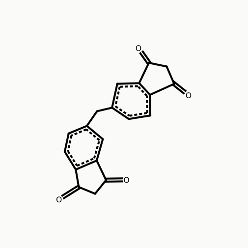 O=C1CC(=O)c2cc(Cc3ccc4c(c3)C(=O)CC4=O)ccc21